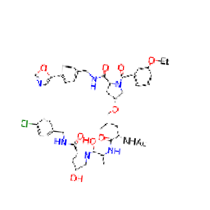 CCOc1cccc(C(=O)N2C[C@H](OCC(C)C[C@H](NC(C)=O)C(=O)N[C@@H](C)C(O)N3C[C@H](O)C[C@H]3C(=O)NCc3ccc(Cl)cc3)C[C@H]2C(=O)NCc2ccc(-c3cnco3)cc2)c1